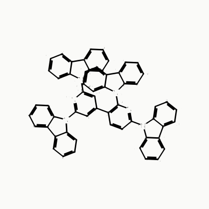 c1ccc2c(c1)c1ccccc1n2-c1cc(-c2ccc(-n3c4ccccc4c4ccccc43)nc2-n2c3ccccc3c3ccccc32)cc(-n2c3ccccc3c3ccccc32)n1